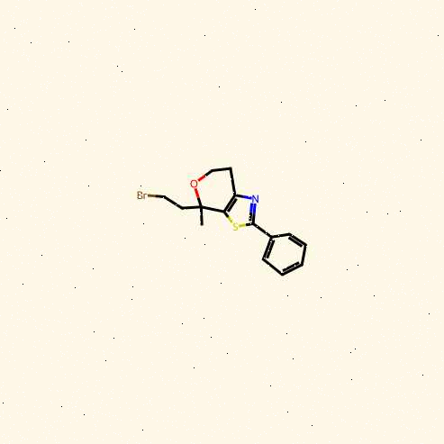 CC1(CCBr)OCCc2nc(-c3ccccc3)sc21